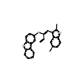 C=C/C(=C\c1c(C)oc2ccc(C)cc12)Sc1ccc2oc3ccccc3c2c1